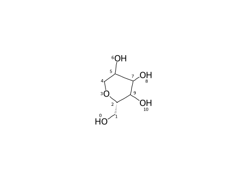 OC[C@@H]1OCC(O)C(O)C1O